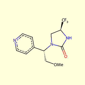 COC[C@H](c1ccncc1)N1C[C@@H](C(F)(F)F)NC1=O